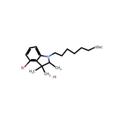 CCCCCCCCCCCCCCCCN1c2cccc(Br)c2C(C)(C)C1C.I